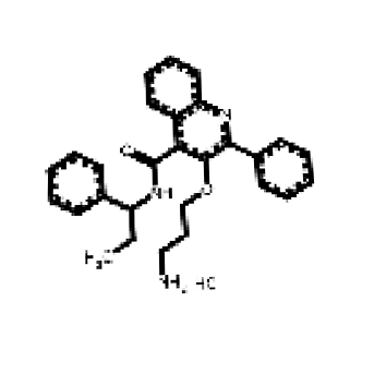 CCC(NC(=O)c1c(OCCCN)c(-c2ccccc2)nc2ccccc12)c1ccccc1.Cl